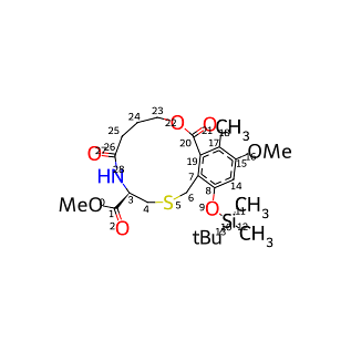 COC(=O)[C@@H]1CSCc2c(O[Si](C)(C)C(C)(C)C)cc(OC)c(C)c2C(=O)OCCCC(=O)N1